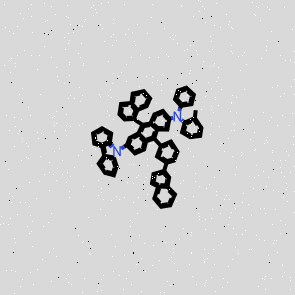 Cc1ccccc1N(c1ccccc1)c1ccc2c(-c3cccc4ccccc34)c3cc(-n4c5ccccc5c5ccccc54)ccc3c(-c3cccc(-c4ccc5ccccc5c4)c3)c2c1